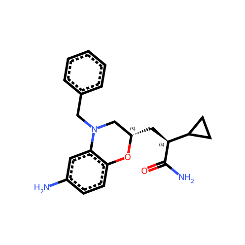 NC(=O)[C@@H](C[C@H]1CN(Cc2ccccc2)c2cc(N)ccc2O1)C1CC1